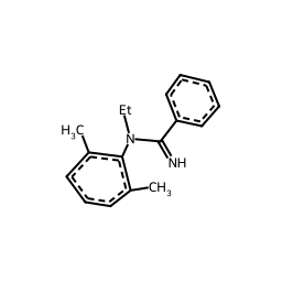 CCN(C(=N)c1ccccc1)c1c(C)cccc1C